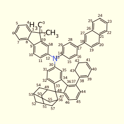 CC1(C)c2ccccc2-c2ccc(N(c3ccc(-c4ccc5ccccc5c4)cc3)c3ccc4c(c3)-c3c(C5=CC=CCC5)cccc3C43C4CC5CC(C4)CC3C5)cc21